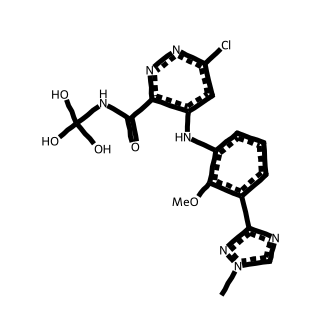 COc1c(Nc2cc(Cl)nnc2C(=O)NC(O)(O)O)cccc1-c1ncn(C)n1